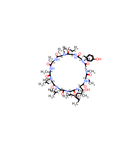 C/C=C/C[C@@H](C)[C@@H](O)[C@H]1C(=O)N[C@@H](CC)C(=O)N(C)CC(=O)N(C)[C@@H](Cc2ccc(O)cc2)C(=O)N[C@@H](C(C)C)C(=O)N(C)[C@@H](C)C(=O)N[C@@H](C)C(=O)N[C@H](C)C(=O)N(C)[C@@H](CC(C)C)C(=O)N(C)[C@H](CC(C)C)C(=O)N(C)[C@@H](C(C)C)C(=O)N1C